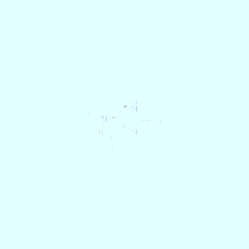 Cc1nc2c(Br)nn(C)c2c(=O)[nH]1